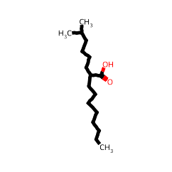 CCCCCCCCC(CCCCC(C)C)C(=O)O